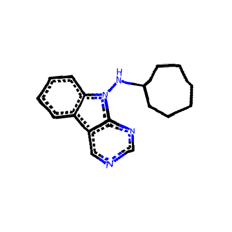 c1ccc2c(c1)c1cncnc1n2NC1CCCCCC1